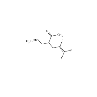 C=CCC(CC(F)=C(F)F)C(C)=O